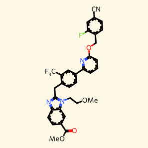 COCCn1c(Cc2ccc(-c3cccc(OCc4ccc(C#N)cc4F)n3)cc2C(F)(F)F)nc2ccc(C(=O)OC)cc21